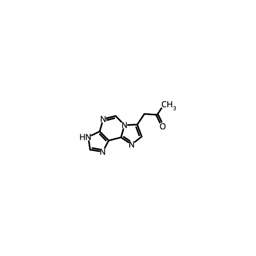 CC(=O)Cc1cnc2c3nc[nH]c3ncn12